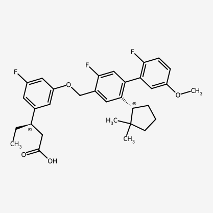 CC[C@H](CC(=O)O)c1cc(F)cc(OCc2cc([C@@H]3CCCC3(C)C)c(-c3cc(OC)ccc3F)cc2F)c1